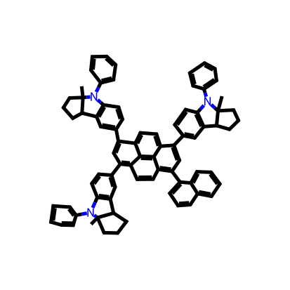 CC12CCCC1c1cc(-c3cc(-c4ccc5c(c4)C4CCCC4(C)N5c4ccccc4)c4ccc5c(-c6cccc7ccccc67)cc(-c6ccc7c(c6)C6CCCC6(C)N7c6ccccc6)c6ccc3c4c65)ccc1N2c1ccccc1